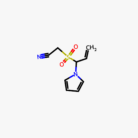 C=CC(n1cccc1)S(=O)(=O)CC#N